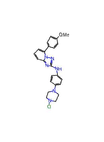 COc1ccc(-c2cccc3nc(Nc4ccc(N5CCN(Cl)CC5)cc4)nn23)cc1